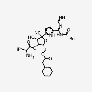 CC[C@@H](C)C(=O)N/C(=N/C=N)c1ccc([C@]2(C#N)O[C@H](COC(=O)CC3CCCCC3)[C@@H](OC(=O)[C@@H](N)C(C)C)[C@H]2O)[nH]1